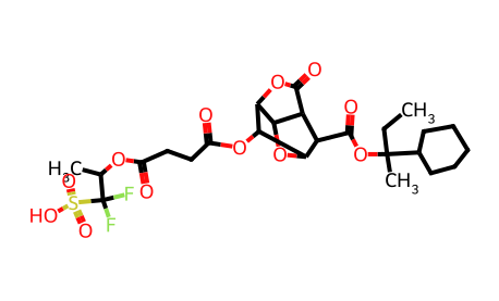 CCC(C)(OC(=O)C1C2OC3C(OC(=O)C31)C2OC(=O)CCC(=O)OC(C)C(F)(F)S(=O)(=O)O)C1CCCCC1